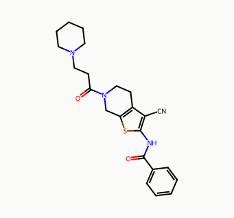 N#Cc1c(NC(=O)c2ccccc2)sc2c1CCN(C(=O)CCN1CCCCC1)C2